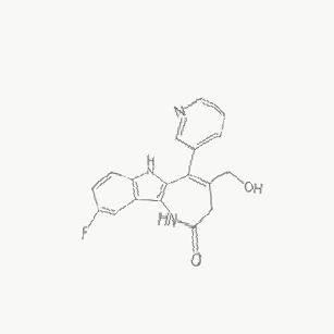 O=C1CC(CO)=C(c2cccnc2)c2[nH]c3ccc(F)cc3c2N1